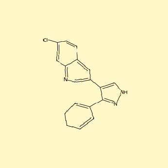 Clc1ccc2cc(-c3c[nH]nc3C3=CCCC=C3)cnc2c1